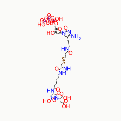 CNC(CSSCCC(=O)NCC#Cc1cn([C@H]2C[C@@H](O)[C@@H](COP(=O)(O)OP(=O)(O)OP(=O)(O)O)O2)c(=O)nc1N)C(=O)NCCCCCC(=O)NC(CC(=O)O)C(=O)NC(CC(=O)O)C(=O)O